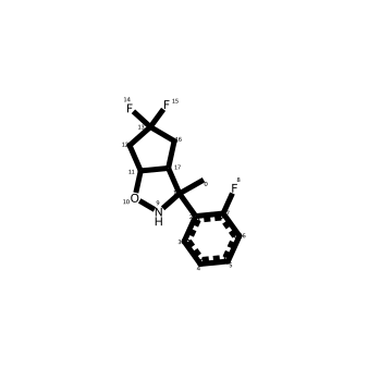 CC1(c2ccccc2F)NOC2CC(F)(F)CC21